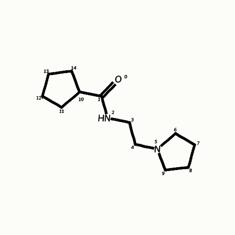 O=C(NCCN1CCCC1)C1C[CH]CC1